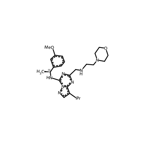 COc1cccc([C@H](C)Nc2nc(CNCCN3CCOCC3)nc3c(C(C)C)cnn23)c1